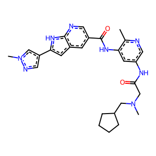 Cc1ncc(NC(=O)CN(C)CC2CCCC2)cc1NC(=O)c1cnc2[nH]c(-c3cnn(C)c3)cc2c1